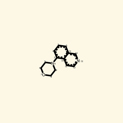 [c]1ccc(N2CCOCC2)c2ccncc12